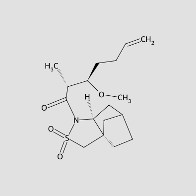 C=CCC[C@@H](OC)[C@@H](C)C(=O)N1[C@H]2CC3CC[C@]2(C3)CS1(=O)=O